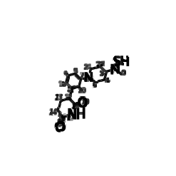 CN(S)C1CCN(c2cccc(C3CCC(=O)NC3=O)c2)CC1